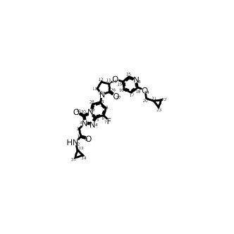 O=C(Cn1nc2c(F)cc(N3CC[C@@H](Oc4ccc(OCC5CC5)nc4)C3=O)cn2c1=O)NC1CC1